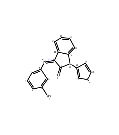 CC(C)c1cccc(/N=C2\C(=O)N(c3ccsc3)c3ccccc32)c1